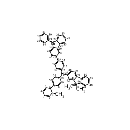 CC1C=CC=CC1c1ccc(N(c2ccc(-c3ccc4c(c3)c3ccccc3n4-c3ccccc3)cc2)c2ccc3c(c2)C(C)(C)c2ccccc2-3)cc1